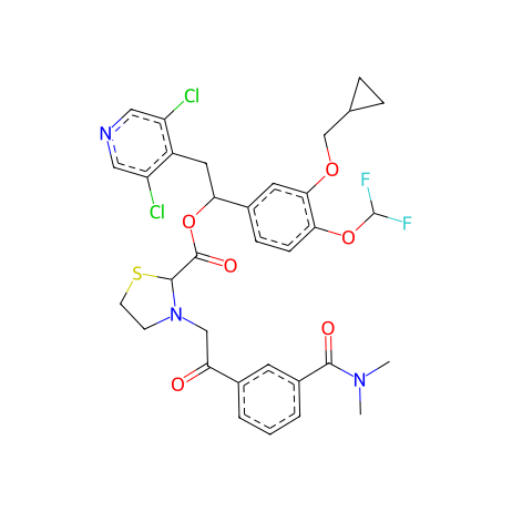 CN(C)C(=O)c1cccc(C(=O)CN2CCSC2C(=O)OC(Cc2c(Cl)cncc2Cl)c2ccc(OC(F)F)c(OCC3CC3)c2)c1